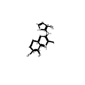 Cc1nc2c(F)c(F)ccc2cc1Oc1sccc1Br